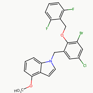 O=C(O)Oc1cccc2c1ccn2Cc1cc(Cl)cc(Br)c1OCc1c(F)cccc1F